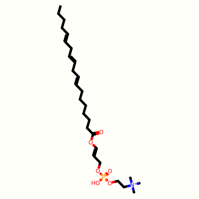 CCCC/C=C/C/C=C/C/C=C/CCCCCCC(=O)O/C=C/COP(=O)(O)OCC[N+](C)(C)C